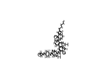 CCCCCc1cc2n(c1)CCN(c1nccc(-c3cc(Nc4cnc(N5CCN(C6COC6)CC5)cn4)c(=O)n(C)c3)c1CO)C2=O